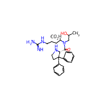 CC(O)CN(C(=O)[C@H]1NCCC1(c1ccccc1)c1ccccc1)[C@@H](CCCNC(=N)N)C(=O)O